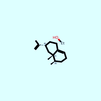 C=C(C)[C@@H]1CCC2=CCC[C@@H](C)[C@]2(C)C1.CCO